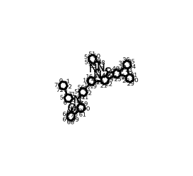 c1ccc(-c2cccc(N(c3ccc(-c4ccc5c(c4)c4ccc6c7cc8c9ccccc9c9ccccc9c8cc7sc6c4n5-c4ncc5ccccc5n4)cc3)c3cccc4c3oc3ccccc34)c2)cc1